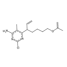 C=CC(CCCCOC(=C)C)c1nc(Cl)nc(N)c1C